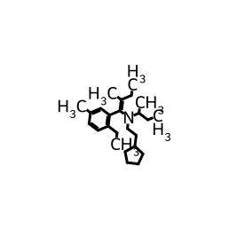 CC/C(C)=C(/c1cc(C)ccc1CC)N(CCC1CCCC1)C(C)CC